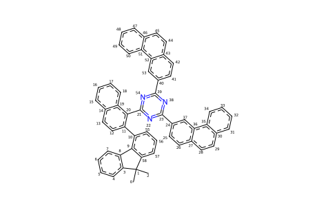 CC1(C)c2ccccc2-c2c(-c3ccc4ccccc4c3-c3nc(-c4ccc5ccc6ccccc6c5c4)nc(-c4ccc5ccc6ccccc6c5c4)n3)cccc21